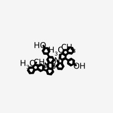 CC1(C)c2ccccc2-c2cc3c4cccc5c4n(c3cc21)-c1cc(-c2ccc(O)cc2)cc2c1B5c1cccc3c4c(-c5ccc(O)cc5)c5c(cc4n-2c13)C(C)(C)c1ccccc1-5